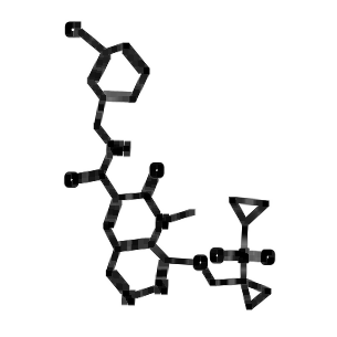 Cn1c(=O)c(C(=O)NCc2cccc(Cl)c2)cc2cnnc(OCC3(S(=O)(=O)C4CC4)CC3)c21